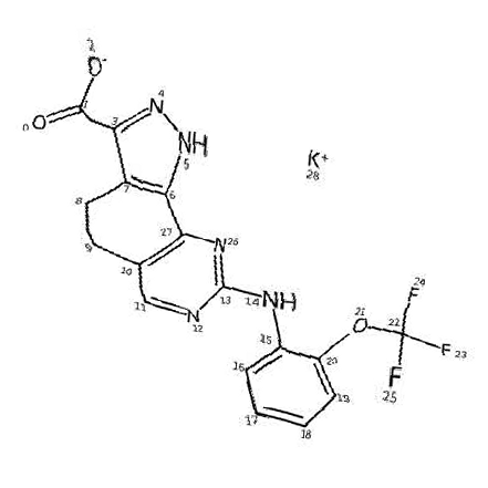 O=C([O-])c1n[nH]c2c1CCc1cnc(Nc3ccccc3OC(F)(F)F)nc1-2.[K+]